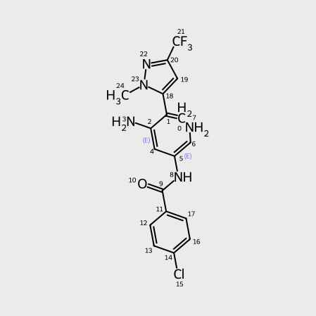 C=C(/C(N)=C\C(=C/N)NC(=O)c1ccc(Cl)cc1)c1cc(C(F)(F)F)nn1C